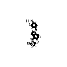 Nc1ccc(Cn2ccc3c(CN4C(=O)CSC4=O)cccc32)cc1